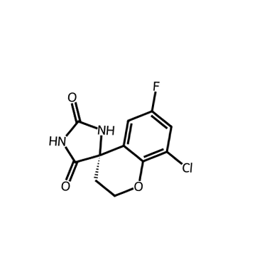 O=C1NC(=O)[C@@]2(CCOc3c(Cl)cc(F)cc32)N1